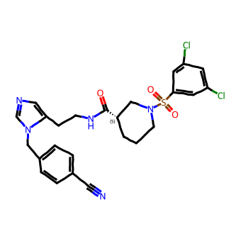 N#Cc1ccc(Cn2cncc2CCNC(=O)[C@H]2CCCN(S(=O)(=O)c3cc(Cl)cc(Cl)c3)C2)cc1